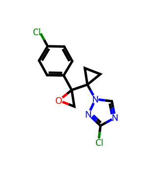 Clc1ccc(C2(C3(n4cnc(Cl)n4)CC3)CO2)cc1